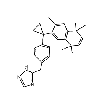 Cc1cc2c(cc1C1(c3ccc(Cc4ncn[nH]4)cc3)CC1)C(C)(C)C=CC2(C)C